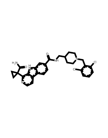 NC(=O)C1(c2nccc3c2[nH]c2cc(C(=O)NCC4CCN(Cc5c(Cl)cccc5Cl)CC4)ccc23)CC1